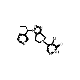 CC[C@H](c1cccnc1)n1nnc2c1CCN(c1cn[nH]c(=O)c1Cl)C2